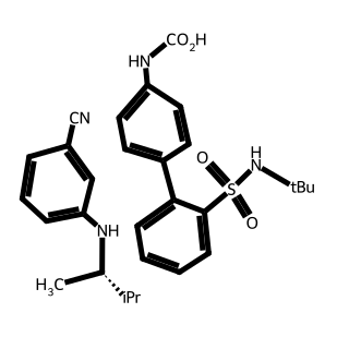 CC(C)(C)NS(=O)(=O)c1ccccc1-c1ccc(NC(=O)O)cc1.CC(C)[C@H](C)Nc1cccc(C#N)c1